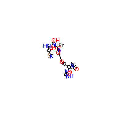 CCN(c1cc(-c2ccc(OCCCCCOc3cc(C(C(=O)N4C[C@H](O)C[C@H]4C(=O)N[C@@H](C)c4ccc(-c5scnc5C)cc4)C(C)C)on3)cc2)cc(C(=O)N(C)c2c(C)cc(C)[nH]c2=O)c1C)C1CCOCC1